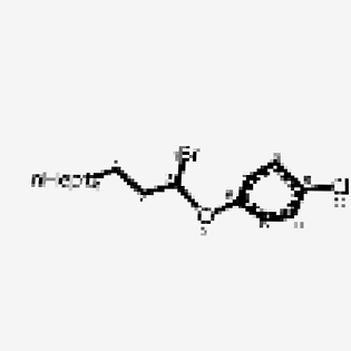 CCCCCCCCCC(Br)Oc1ccc(Cl)cc1